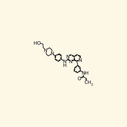 C=CC(=O)Nc1cccc(-c2nccc3cnc(Nc4ccc(N5CCN(CCO)CC5)cc4)nc23)c1